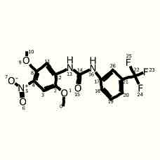 COc1cc([N+](=O)[O-])c(OC)cc1NC(=O)Nc1cccc(C(F)(F)F)c1